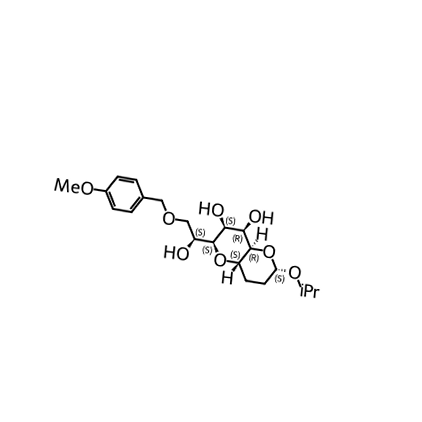 COc1ccc(COC[C@H](O)[C@@H]2O[C@H]3CC[C@@H](OC(C)C)O[C@@H]3[C@H](O)[C@@H]2O)cc1